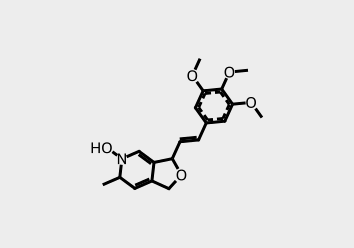 COc1cc(C=CC2OCC3=CC(C)N(O)C=C32)cc(OC)c1OC